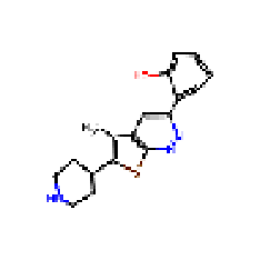 Cc1c(C2CCNCC2)sc2nnc(-c3ccccc3O)cc12